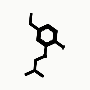 CCc1ccc(F)c(OCC(C)C)c1